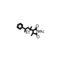 CCC(C)(CC(C)c1ccccc1)C1C(=O)N(C(C)=O)C(=O)C1C